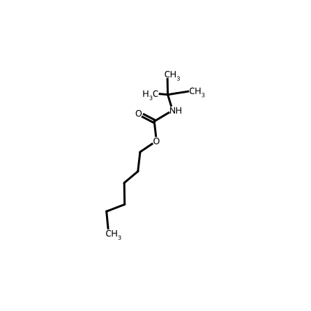 CCCCCCOC(=O)NC(C)(C)C